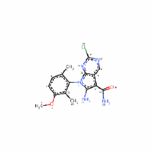 COc1ccc(C)c(-n2c(N)c(C(N)=O)c3cnc(Cl)nc32)c1C